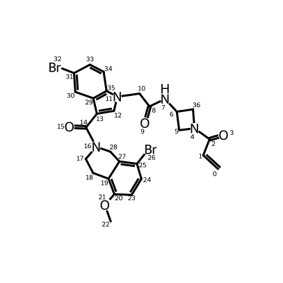 C=CC(=O)N1CC(NC(=O)Cn2cc(C(=O)N3CCc4c(OC)ccc(Br)c4C3)c3cc(Br)ccc32)C1